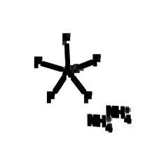 [F][Al-2]([F])([F])([F])[F].[NH4+].[NH4+]